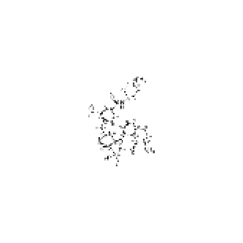 COc1cc(C(=O)NC2CCN(C)CC2)ccc1Nc1ncc(C(F)(F)F)c(Oc2cccc3c2C(=O)N(C)CC3)n1